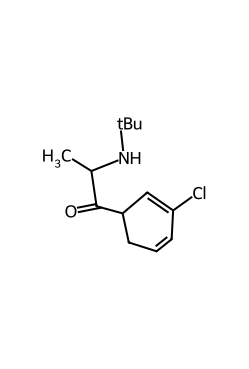 CC(NC(C)(C)C)C(=O)C1C=C(Cl)C=CC1